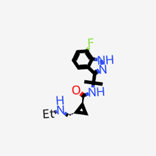 CCNC[C@H]1C[C@@H]1C(=O)NC(C)(C)c1n[nH]c2c(F)cccc12